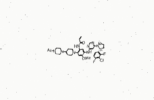 C=CC(=O)Nc1cc(Nc2cc(N3OCC[C@@H]3c3ccc(F)c(Cl)c3F)ncn2)c(OC)cc1N1CCC(N2CCN(C(C)=O)CC2)CC1